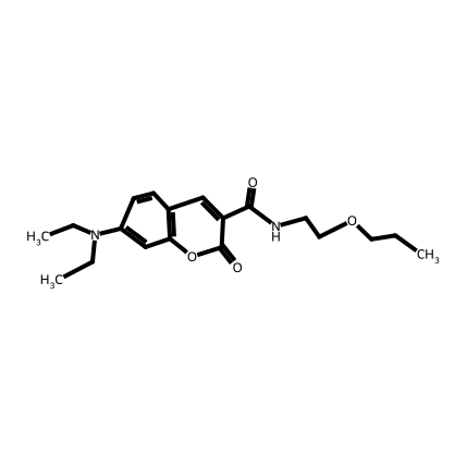 CCCOCCNC(=O)c1cc2ccc(N(CC)CC)cc2oc1=O